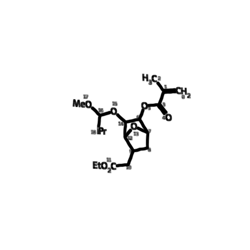 C=C(C)C(=O)OC1C2CC(CC(=O)OCC)C(O2)C1OC(OC)C(C)C